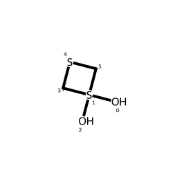 OS1(O)[CH]SC1